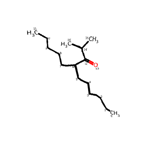 CCCCCCC(CCCCC)C(=O)C(C)C